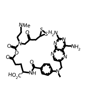 CNCCN(CC(=O)CC1SS1)C(=O)OC(=O)CC[C@H](NC(=O)c1ccc(N(C)Cc2cnc3nc(N)nc(N)c3n2)cc1)C(=O)O